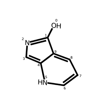 Oc1ncc2[nH]cccc1-2